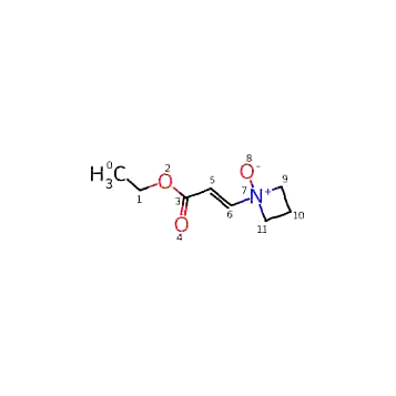 CCOC(=O)C=C[N+]1([O-])CCC1